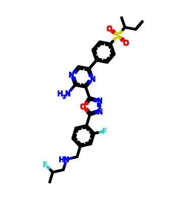 CCC(C)S(=O)(=O)c1ccc(-c2cnc(N)c(-c3nnc(-c4ccc(CNCC(C)F)cc4F)o3)n2)cc1